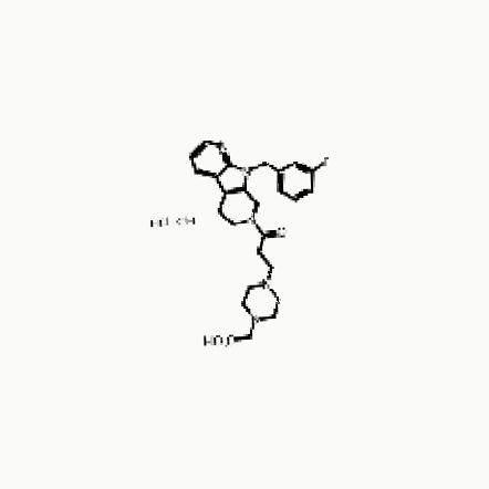 Cl.Cl.O=C(O)CN1CCN(CCC(=O)N2CCc3c(n(Cc4cccc(F)c4)c4ncccc34)C2)CC1